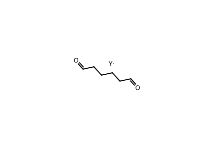 O=CCCCCC=O.[Y]